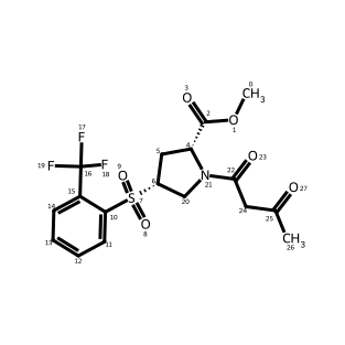 COC(=O)[C@H]1C[C@@H](S(=O)(=O)c2ccccc2C(F)(F)F)CN1C(=O)CC(C)=O